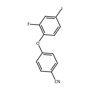 N#Cc1ccc(Oc2ccc(I)cc2F)cc1